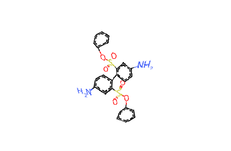 Nc1ccc(-c2ccc(N)cc2S(=O)(=O)Oc2ccccc2)c(S(=O)(=O)Oc2ccccc2)c1